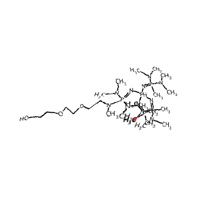 CN(C)P(C)(=N[PH](N=P(C)(C)C)(N=P(C)(N(C)C)N(C)C)N=P(N(C)C)(N(C)C)N(C)CCOCCOCCO)N(C)C